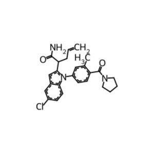 C=CCC(C(N)=O)c1cc2cc(Cl)ccc2n1-c1ccc(C(=O)N2CCCC2)c(C)c1